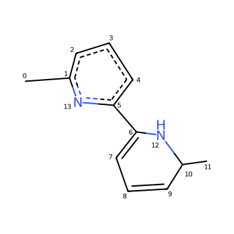 Cc1cccc(C2=CC=CC(C)N2)n1